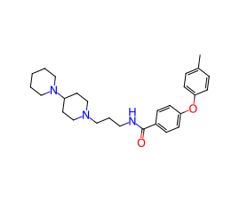 Cc1ccc(Oc2ccc(C(=O)NCCCN3CCC(N4CCCCC4)CC3)cc2)cc1